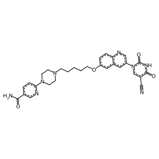 N#Cc1cn(-c2cnc3ccc(OCCCCCN4CCN(c5ccc(C(N)=O)cn5)CC4)cc3c2)c(=O)[nH]c1=O